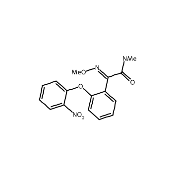 CNC(=O)/C(=N/OC)c1ccccc1Oc1ccccc1[N+](=O)[O-]